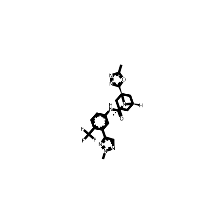 Cc1nnc([C@@]23C[C@@H](C)C[C@@H](C2)N3C(=O)Nc2ccc(C(F)(F)F)c(-c3cnn(C)n3)c2)o1